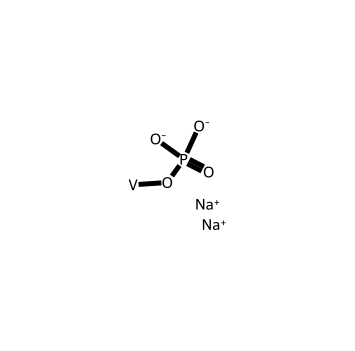 O=P([O-])([O-])[O][V].[Na+].[Na+]